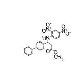 COC(=O)CC(Nc1ccc([N+](=O)[O-])cc1[N+](=O)[O-])c1ccc(-c2ccccc2)cc1